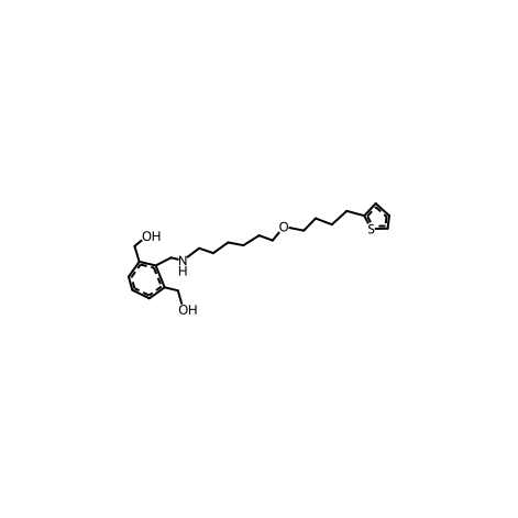 OCc1cccc(CO)c1CNCCCCCCOCCCCc1cccs1